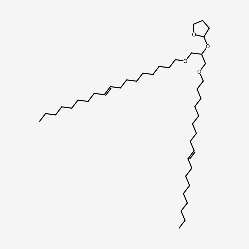 CCCCCCCCC=CCCCCCCCCOCC(COCCCCCCCCC=CCCCCCCCC)OC1CCCO1